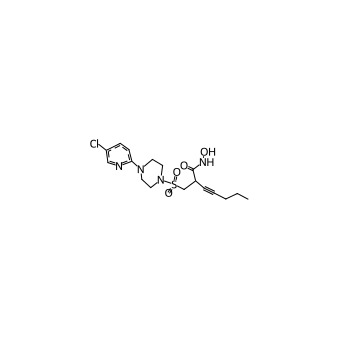 CCCC#CC(CS(=O)(=O)N1CCN(c2ccc(Cl)cn2)CC1)C(=O)NO